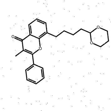 Cc1c(-c2ccccc2)oc2c(CCCCC3OCCCO3)cccc2c1=O